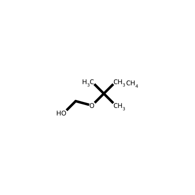 C.CC(C)(C)OCO